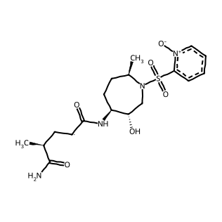 C[C@@H]1CC[C@H](NC(=O)[CH]C[C@H](C)C(N)=O)[C@@H](O)CN1S(=O)(=O)c1cccc[n+]1[O-]